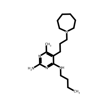 CCCCNc1nc(N)nc(C)c1CCCN1CCCCCC1